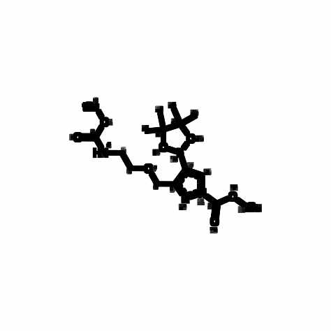 CC(C)(C)OC(=O)NCCOCc1nn(C(=O)OC(C)(C)C)cc1B1OC(C)(C)C(C)(C)O1